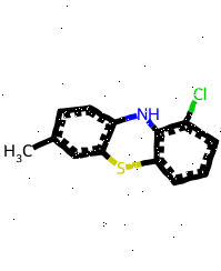 Cc1ccc2c(c1)Sc1cccc(Cl)c1N2